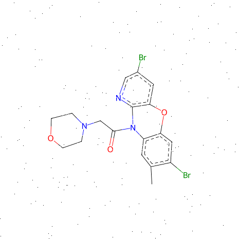 Cc1cc2c(cc1Br)Oc1cc(Br)cnc1N2C(=O)CN1CCOCC1